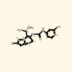 CO[C@@H](C)c1c(NC(=O)Nc2ccnc(Cl)c2)cnc2cc(Cl)nn12